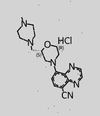 C[C@@H]1CN(c2ccc(C#N)c3nccnc23)C[C@H](CN2CCN(C)CC2)O1.Cl